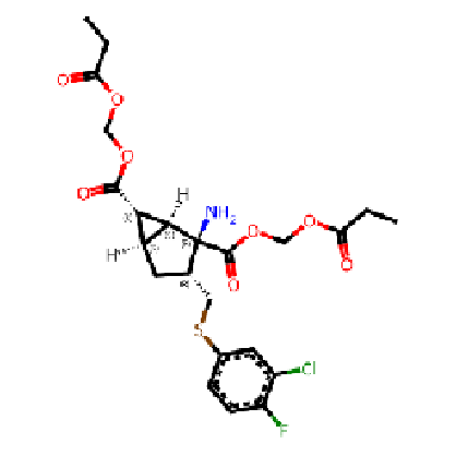 CCC(=O)OCOC(=O)[C@H]1[C@@H]2C[C@@H](CSc3ccc(F)c(Cl)c3)[C@@](N)(C(=O)OCOC(=O)CC)[C@@H]21